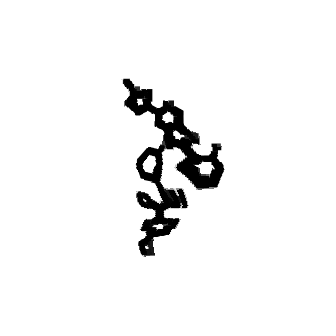 Cn1ccc(-c2cc3c(cn2)nc(-c2ccccc2F)n3[C@@H]2CCC[C@H](NC(=O)c3ncc(Cl)s3)C2)n1